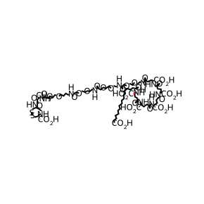 C[C@H](NC(=O)COCCOCCCCNC(=O)COCCOCCNC(=O)COCCOCCNC(=O)COCCOCCNC(=O)CC[C@H](NC(=O)CC[C@H](NC(=O)CC[C@H](NC(=O)CC[C@H](NC(=O)CC[C@H](NC(=O)CCCCCCCCCCCCCCCCC(=O)O)C(=O)O)C(=O)O)C(=O)O)C(=O)O)C(=O)O)C(=O)CN[C@H]1CSSC[C@@H](C(=O)O)NCC1=O